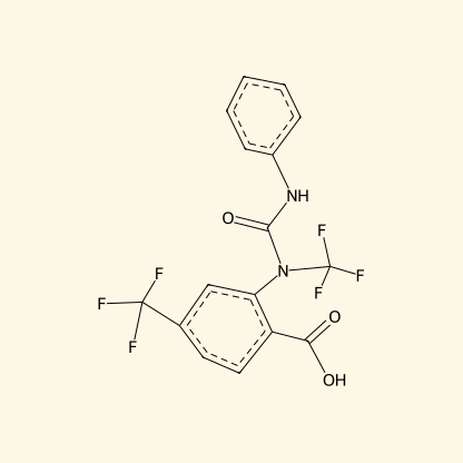 O=C(O)c1ccc(C(F)(F)F)cc1N(C(=O)Nc1ccccc1)C(F)(F)F